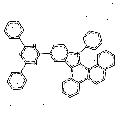 c1ccc(-c2nc(-c3ccccc3)nc(-c3ccc4c(c3)c3c5ccccc5c5ccc6ccccc6c5c3n4-c3ccccc3)n2)cc1